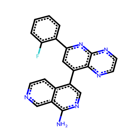 Nc1ncc(-c2cc(-c3ccccc3F)nc3nccnc23)c2ccncc12